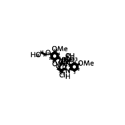 COc1ccc(Nc2nc(Nc3cc(OC)c(OCCO)cc3OC)ncc2Cl)c(NS(C)(=O)=O)c1